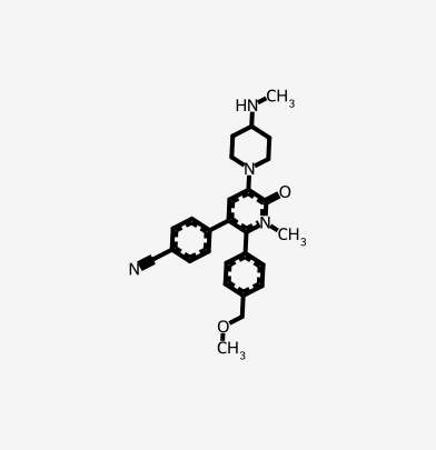 CNC1CCN(c2cc(-c3ccc(C#N)cc3)c(-c3ccc(COC)cc3)n(C)c2=O)CC1